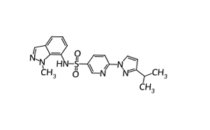 CC(C)c1ccn(-c2ccc(S(=O)(=O)Nc3cccc4cnn(C)c34)cn2)n1